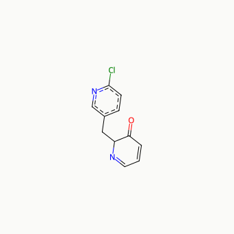 O=C1C=CC=NC1Cc1ccc(Cl)nc1